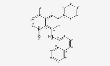 CC(=O)c1cc(N2CCOCC2)cc(Nc2cccc3ccccc23)c1[N+](=O)[O-]